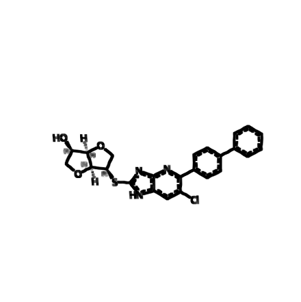 O[C@@H]1CO[C@H]2[C@@H]1OC[C@H]2Sc1nc2nc(-c3ccc(-c4ccccc4)cc3)c(Cl)cc2[nH]1